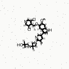 COc1cc2[nH]nc(-c3cnc(N4CC(C)(NCC(C)(C)O)C4)c(F)c3)c2cc1O[C@H](C)c1c(Cl)cncc1Cl